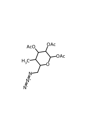 CC(=O)OC1OC(CN=[N+]=[N-])C(C)C(OC(C)=O)C1OC(C)=O